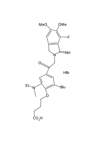 Br.CCN(C)c1cc(C(=O)CN2Cc3cc(OC)c(OC)c(F)c3C2=N)cc(C(C)(C)C)c1OCCCC(=O)O